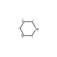 C1[Se]C[Se]C[Se]1